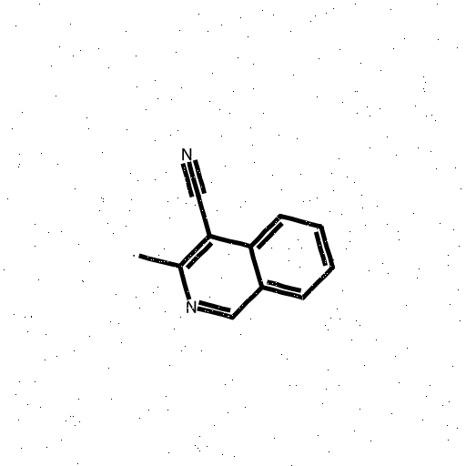 [CH2]c1ncc2ccccc2c1C#N